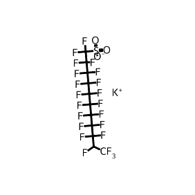 O=S(=O)([O-])C(F)(F)C(F)(F)C(F)(F)C(F)(F)C(F)(F)C(F)(F)C(F)(F)C(F)(F)C(F)(F)C(F)C(F)(F)F.[K+]